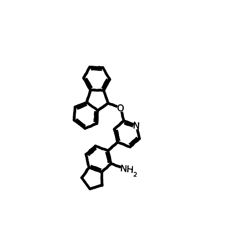 Nc1c(-c2ccnc(OC3c4ccccc4-c4ccccc43)c2)ccc2c1CCC2